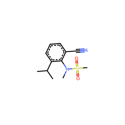 CC(C)c1cccc(C#N)c1N(C)S(C)(=O)=O